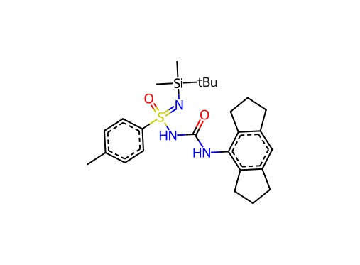 Cc1ccc(S(=O)(=N[Si](C)(C)C(C)(C)C)NC(=O)Nc2c3c(cc4c2CCC4)CCC3)cc1